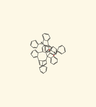 c1ccc(-c2c3cccc2C(c2ccccc2)(c2ccccc2N(c2ccccc2)c2ccc4c(c2)c2ccccc2n4-c2ccccc2)c2ccccc2-c2ccccc2-3)cc1